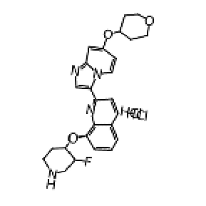 Cl.Cl.FC1CNCCC1Oc1cccc2ccc(-c3cnc4cc(OC5CCOCC5)ccn34)nc12